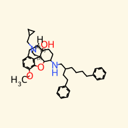 COc1ccc2c3c1OC1C(NCC(CCCCc4ccccc4)CCc4ccccc4)CC[C@@]4(O)[C@@H](C2)N(CC2CC2)CC[C@]314